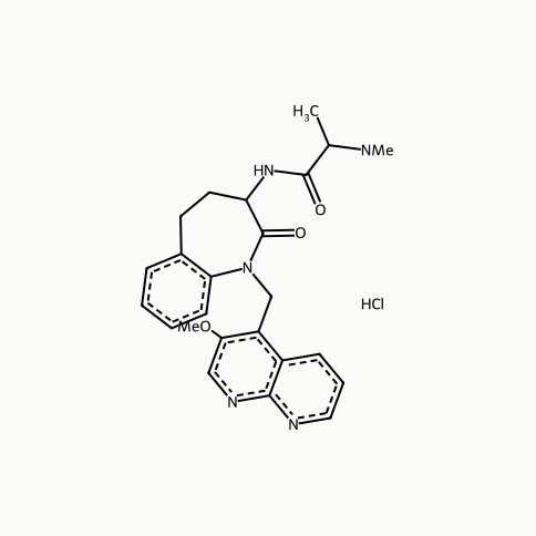 CNC(C)C(=O)NC1CCc2ccccc2N(Cc2c(OC)cnc3ncccc23)C1=O.Cl